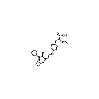 CCOC(Cc1ccc(OCCN(CC2CCC2)C(=O)NC2CCCC2)cc1)C(=O)O